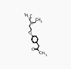 CCN(CC)CCOc1ccc(CC(C)=O)cc1